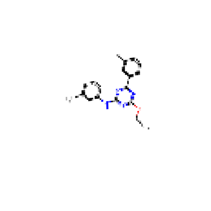 Cc1cccc(-c2nc(Nc3cccc(C(F)(F)F)c3)nc(OCC(F)(F)F)n2)c1